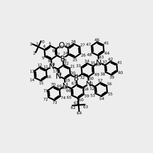 CC(C)(C)c1cc2c3c(c1)N(c1ccccc1)c1nc4c(cc1B3c1ccccc1O2)B1c2ccc(N(c3ccccc3)c3ccccc3)cc2N(c2ccccc2)c2cc(C(C)(C)C)cc(c21)N4c1ccccc1